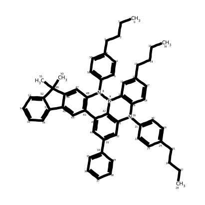 CCCCc1ccc(N2B3c4cc(CCCC)ccc4N(c4ccc(CCCC)cc4)c4cc(-c5ccccc5)cc(c43)-c3cc4c(cc32)C(C)(C)c2ccccc2-4)cc1